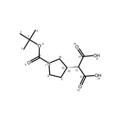 CC(C)(C)OC(=O)N1CC[C@@H](C(C(=O)O)C(=O)O)C1